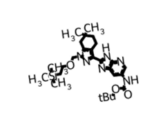 CC1(C)CCc2c(-c3nc4cc(NC(=O)OC(C)(C)C)cnc4[nH]3)nn(COCC[Si](C)(C)C)c2C1